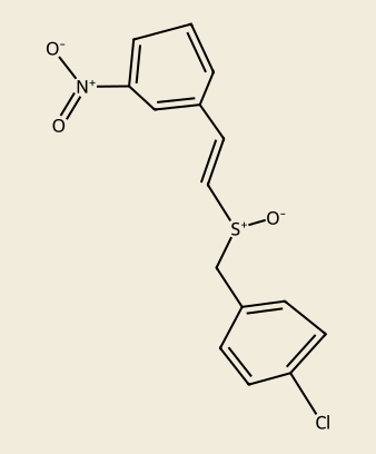 O=[N+]([O-])c1cccc(/C=C/[S+]([O-])Cc2ccc(Cl)cc2)c1